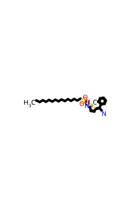 CCCCCCCCCCCCCCCCS(=O)(=O)ON=C1C=CC(=C(C#N)c2ccccc2C)S1